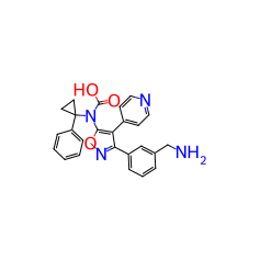 NCc1cccc(-c2noc(N(C(=O)O)C3(c4ccccc4)CC3)c2-c2ccncc2)c1